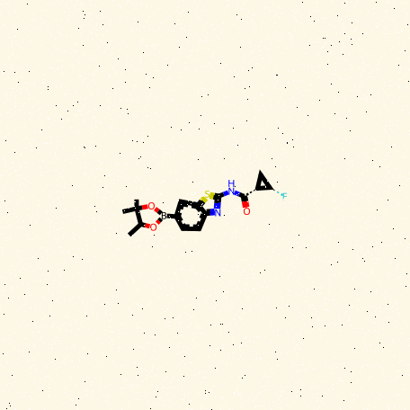 CC1OB(c2ccc3nc(NC(=O)[C@@H]4C[C@@H]4F)sc3c2)OC1(C)C